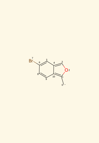 [CH2]c1occ2cc(Br)ccc12